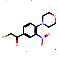 O=C(CBr)c1ccc(N2CCOCC2)c([N+](=O)[O-])c1